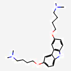 CN(C)CCCCOc1ccc2[nH]c3ccc(OCCCCN(C)C)cc3c2c1